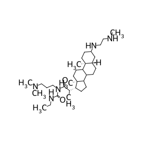 CCNC(=O)N(CCCN(C)C)C(=O)C(C)[C@H]1CCC2C3CC[C@H]4CC(NCCNC)CC[C@]4(C)C3CC[C@@]21C